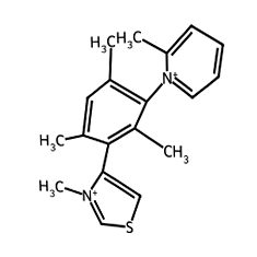 Cc1cc(C)c(-[n+]2ccccc2C)c(C)c1-c1csc[n+]1C